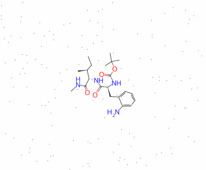 CC[C@H](C)[C@H](NC(=O)[C@H](Cc1ccccc1N)NC(=O)OC(C)(C)C)C(=O)NC